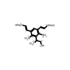 CCCCCC=Cc1cc(C=CCCCCC)c(N)c(C(C)CC(C)C)c1N